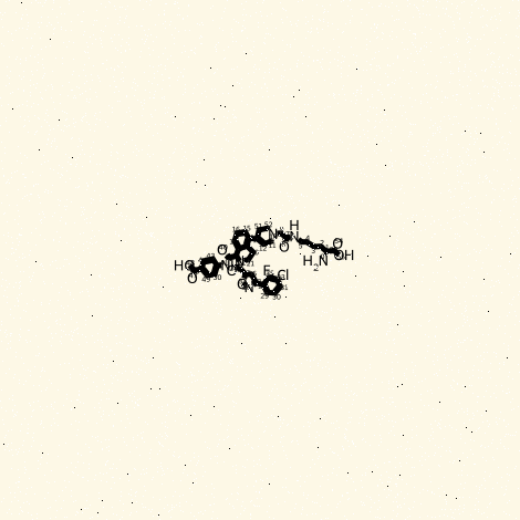 N[C@@H](CCCCNC(=O)CN1CC=C(c2cccc3c2CCN(C(=O)C2CC(c4cccc(Cl)c4F)=NO2)C3C(=O)Nc2ccc(C(=O)O)cc2)CC1)C(=O)O